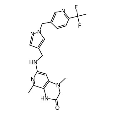 Cc1nc(NCc2cnn(Cc3ccc(C(C)(F)F)nc3)c2)cc2c1NC(=O)CN2C